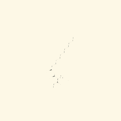 CCCCCCCCCCCC(=O)OC(=O)[C@@H](N)[C@@H](C)CC